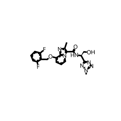 Cc1nc2c(OCc3c(F)cccc3F)cccn2c1C(=O)N[C@@H](CO)c1nnn(C)n1